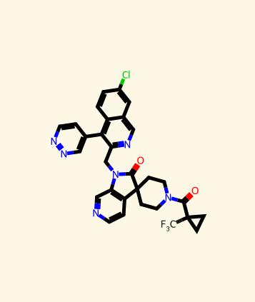 O=C1N(Cc2ncc3cc(Cl)ccc3c2-c2ccnnc2)c2cnccc2C12CCN(C(=O)C1(C(F)(F)F)CC1)CC2